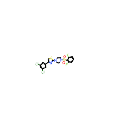 O=S(=O)(c1c(F)cccc1F)N1CCN(c2nc(-c3cc(Cl)cc(Cl)c3)cs2)CC1